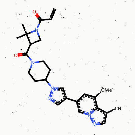 C=CC(=O)N1CC(C(=O)N2CCC(n3cc(-c4cc(OC)c5c(C#N)cnn5c4)cn3)CC2)C1(C)C